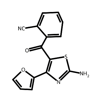 N#Cc1ccccc1C(=O)c1sc(N)nc1-c1ccco1